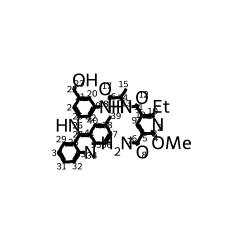 CCc1nc(OC)c(C(N)=O)cc1C(=O)NC(C)C(=O)Nc1cc(CO)cc(Nc2c3ccccc3nc3ccc(C)cc23)c1